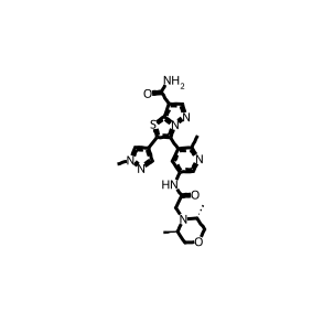 Cc1ncc(NC(=O)CN2[C@H](C)COC[C@H]2C)cc1-c1c(-c2cnn(C)c2)sc2c(C(N)=O)cnn12